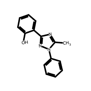 Cc1nc(-c2ccccc2O)nn1-c1ccccc1